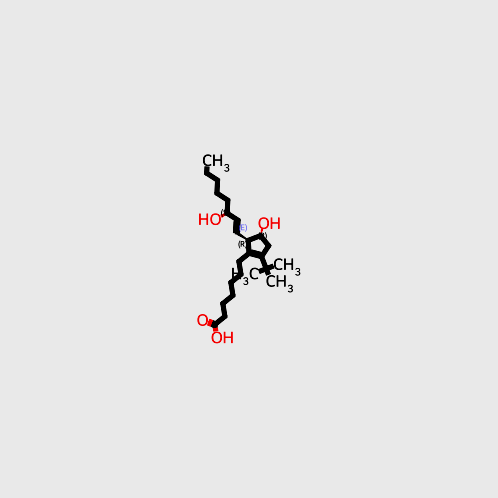 CCCCC[C@H](O)/C=C/[C@@H]1C(CCCCCCC(=O)O)=C(C(C)(C)C)C[C@H]1O